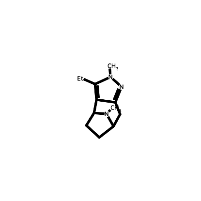 CCc1c2c(nn1C)CC1CCC2N1C